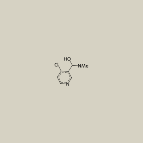 CNC(O)c1cnccc1Cl